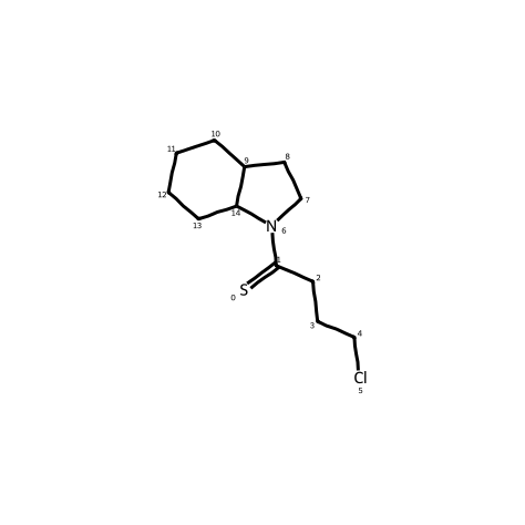 S=C(CCCCl)N1CCC2CCCCC21